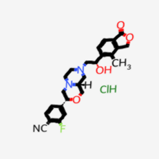 Cc1c([C@H](O)CN2CCN3C[C@@H](c4ccc(C#N)c(F)c4)OC[C@H]3C2)ccc2c1COC2=O.Cl